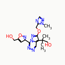 Cn1ncnc1COc1nn2c(-c3cc(CO)on3)nncc2c1C(C)(C)CO